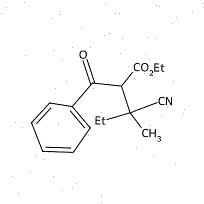 CCOC(=O)C(C(=O)c1ccccc1)C(C)(C#N)CC